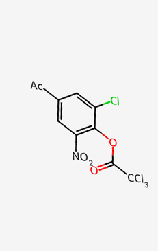 CC(=O)c1cc(Cl)c(OC(=O)C(Cl)(Cl)Cl)c([N+](=O)[O-])c1